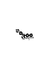 COc1cc(-c2nc(-c3ccc(N4CCN(C)CC4)cc3)n3ccnc(N)c23)ccc1-c1c[c]ccc1